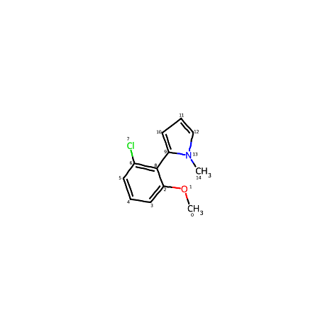 COc1cccc(Cl)c1-c1cccn1C